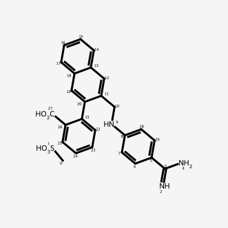 CS(=O)(=O)O.N=C(N)c1ccc(NCc2cc3ccccc3cc2-c2ccccc2C(=O)O)cc1